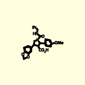 COc1ccc(C2C(C(=O)O)C(c3ccc4c(c3)OCO4)CN2C(=O)NCC(C)C)cc1